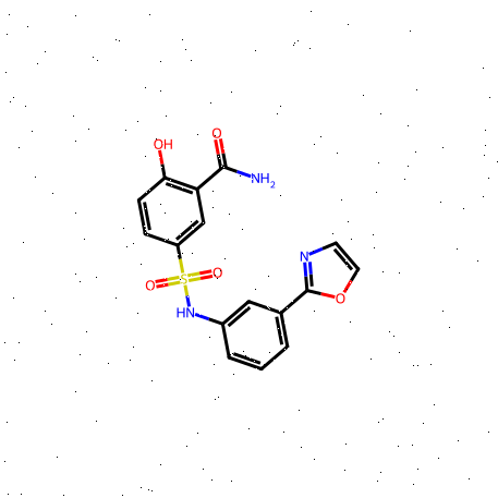 NC(=O)c1cc(S(=O)(=O)Nc2cccc(-c3ncco3)c2)ccc1O